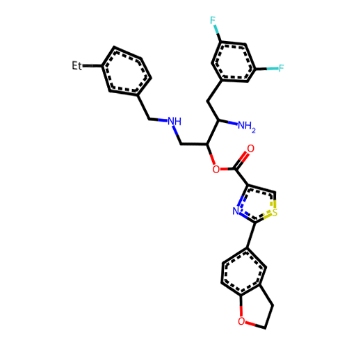 CCc1cccc(CNCC(OC(=O)c2csc(-c3ccc4c(c3)CCO4)n2)C(N)Cc2cc(F)cc(F)c2)c1